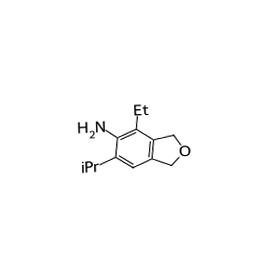 CCc1c(N)c(C(C)C)cc2c1COC2